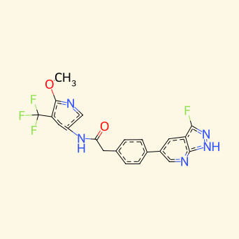 COc1ncc(NC(=O)Cc2ccc(-c3cnc4[nH]nc(F)c4c3)cc2)cc1C(F)(F)F